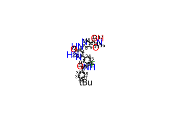 Cc1c(-c2cc(Nc3ccc(C(O)C(=O)N(C)C)cn3)c(=O)[nH]n2)ccc(F)c1NC(=O)c1ccc(C(C)(C)C)cc1